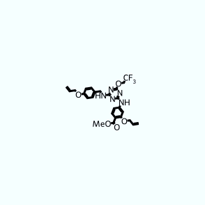 C=CCOc1ccc(CNc2nc(Nc3ccc(C(=O)OC)c(OCC=C)c3)nc(OCC(F)(F)F)n2)cc1